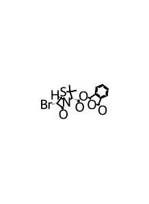 CC1(C)S[C@@H]2[C@@H](Br)C(=O)N2[C@H]1C(=O)OC1OC(=O)c2ccccc21